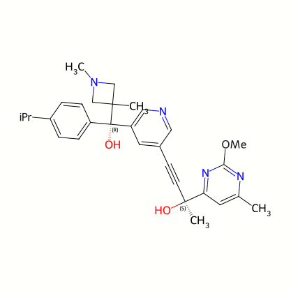 COc1nc(C)cc([C@@](C)(O)C#Cc2cncc([C@@](O)(c3ccc(C(C)C)cc3)C3(C)CN(C)C3)c2)n1